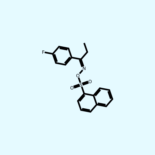 CCC(=NOS(=O)(=O)c1cccc2ccccc12)c1ccc(F)cc1